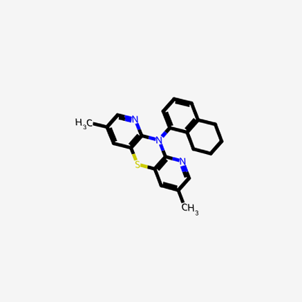 Cc1cnc2c(c1)Sc1cc(C)cnc1N2c1cccc2c1CCCC2